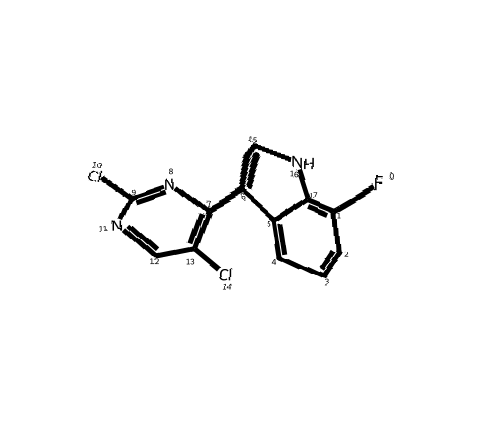 Fc1cccc2c(-c3nc(Cl)ncc3Cl)c[nH]c12